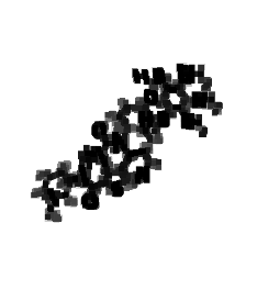 Bc1c(B)c(B)c(Oc2ccc(N3C(=O)Nc4c(C(=O)N[C@@H]5CCCN(C)C5)sc5nccc3c45)c(C)c2)c(B)c1B